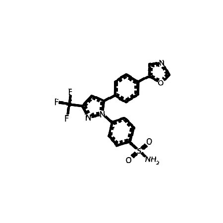 NS(=O)(=O)c1ccc(-n2nc(C(F)(F)F)cc2-c2ccc(-c3cnco3)cc2)cc1